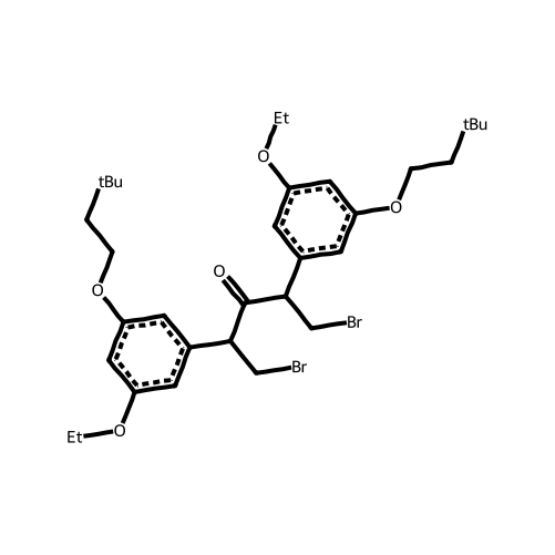 CCOc1cc(OCCC(C)(C)C)cc(C(CBr)C(=O)C(CBr)c2cc(OCC)cc(OCCC(C)(C)C)c2)c1